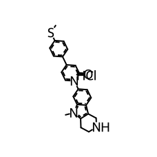 CSc1ccc(-c2ccn(-c3ccc4c5c(n(C)c4c3)CCNC5)c(=O)c2)cc1.Cl